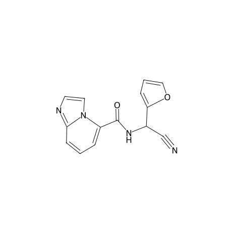 N#CC(NC(=O)c1cccc2nccn12)c1ccco1